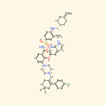 CO[C@H]1CC[C@H](CNc2ccc(S(=O)(=O)NC(=O)c3cccc(N4CCN(CC5=C(c6ccc(Cl)cc6)CC(C)(C)CC5)CC4)c3Oc3cnc4[nH]ccc4c3)cc2[N+](=O)[O-])CC1